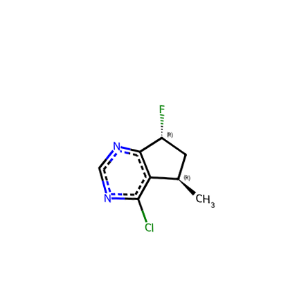 C[C@@H]1C[C@@H](F)c2ncnc(Cl)c21